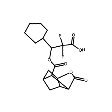 O=C(OC(C1CCCCC1)C(F)(F)C(=O)O)C1C2CC3OC(=O)C1C3C2